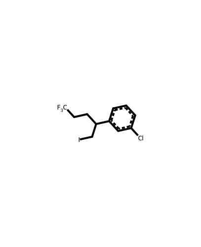 FC(F)(F)CCC(CI)c1cccc(Cl)c1